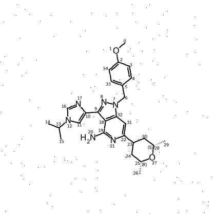 COc1ccc(Cn2nc(-c3cn(C(C)C)cn3)c3c(N)nc(C4C[C@@H](C)O[C@@H](C)C4)cc32)cc1